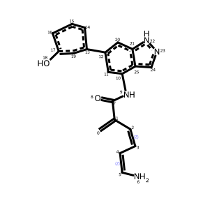 C=C(/C=C\C=C/N)C(=O)Nc1cc(-c2cccc(O)c2)cc2[nH]ncc12